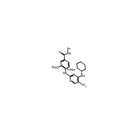 COc1cc(C(=O)NC(C)C)ccc1Nc1ncc(C(F)(F)F)c(N[C@@H]2CCCC[C@H]2NC(C)=O)n1